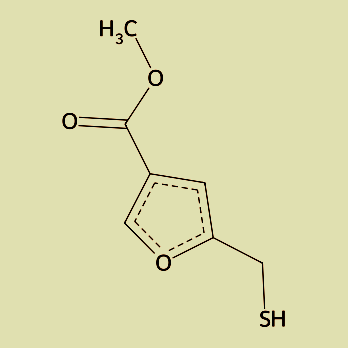 COC(=O)c1coc(CS)c1